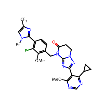 CCn1cc(C(F)(F)F)nc1-c1ccc(CN2C(=O)CCn3nc(-c4c(OC)ncnc4C4CC4)nc32)c(OC)c1F